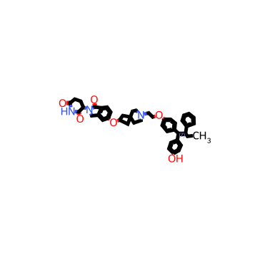 CC/C(=C(\c1ccc(O)cc1)c1ccc(OCCN2CCC3(CC2)CC(Oc2ccc4c(c2)CN(C2CCC(=O)NC2=O)C4=O)C3)cc1)c1ccccc1